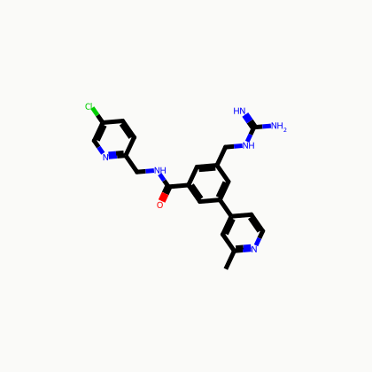 Cc1cc(-c2cc(CNC(=N)N)cc(C(=O)NCc3ccc(Cl)cn3)c2)ccn1